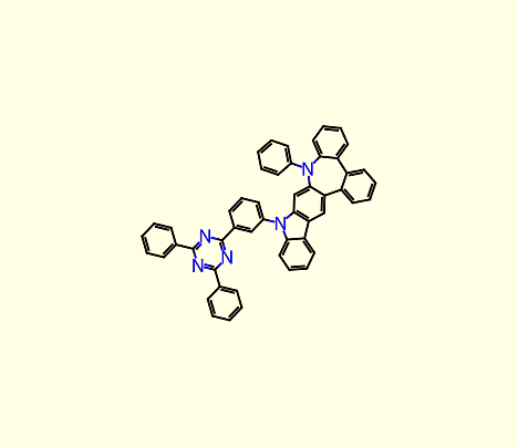 c1ccc(-c2nc(-c3ccccc3)nc(-c3cccc(-n4c5ccccc5c5cc6c(cc54)N(c4ccccc4)c4ccccc4-c4ccccc4-6)c3)n2)cc1